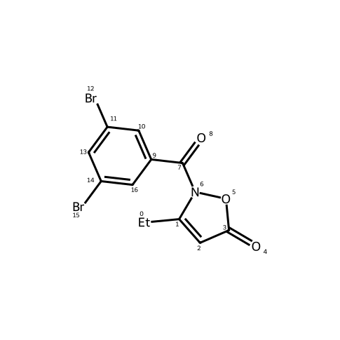 CCc1cc(=O)on1C(=O)c1cc(Br)cc(Br)c1